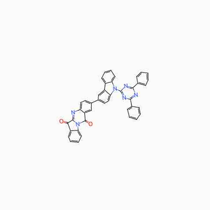 O=C1c2ccccc2-n2c1nc1ccc(-c3ccc4c(c3)c3ccccc3n4-c3nc(-c4ccccc4)nc(-c4ccccc4)n3)cc1c2=O